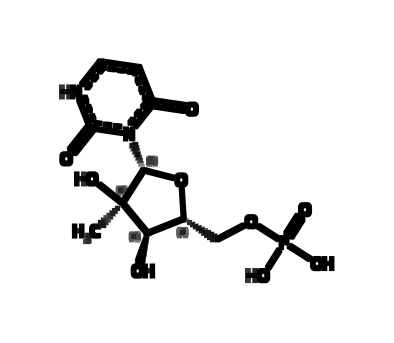 C[C@@]1(O)[C@H](O)[C@@H](COP(=O)(O)O)O[C@H]1n1c(=O)cc[nH]c1=O